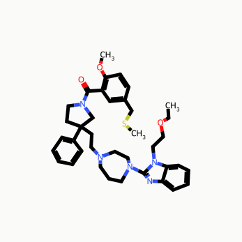 CCOCCn1c(N2CCCN(CCC3(c4ccccc4)CCN(C(=O)c4cc(CSC)ccc4OC)C3)CC2)nc2ccccc21